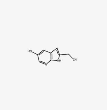 N#CCc1cc2cc(O)cnc2[nH]1